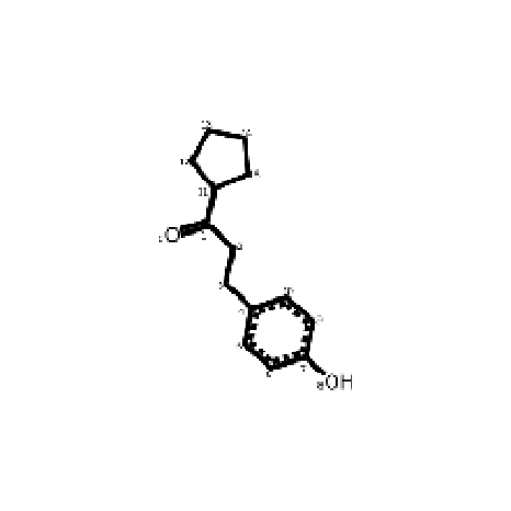 O=C(CCc1ccc(O)cc1)C1CCCC1